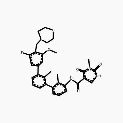 COc1cc(-c2cccc(-c3cccc(NC(=O)c4c[nH]c(=O)n(C)c4=O)c3C)c2C)cc(F)c1CN1CCOCC1